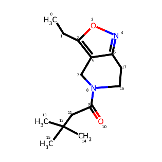 CCc1onc2c1CN(C(=O)CC(C)(C)C)CC2